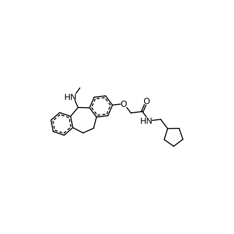 CNC1c2ccccc2CCc2cc(OCC(=O)NCC3CCCC3)ccc21